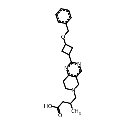 CC(CC(=O)O)CN1CCc2nc(C3CC(OCc4ccccc4)C3)ncc2C1